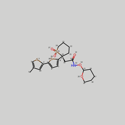 Cc1csc(-c2ccc([C@@]3(CC(=O)NOC4CCCCO4)CCCCS3(=O)=O)s2)c1